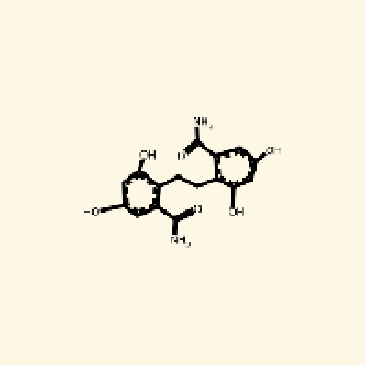 NC(=O)c1cc(O)cc(O)c1CCc1c(O)cc(O)cc1C(N)=O